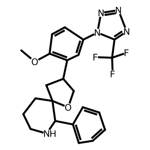 COc1ccc(-n2nnnc2C(F)(F)F)cc1C1COC2(CCCNC2c2ccccc2)C1